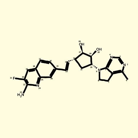 Cc1ncnc2c1CCN2[C@@H]1C[C@H](/C=C/c2ccc3cc(F)c(N)nc3c2)[C@@H](O)[C@H]1O